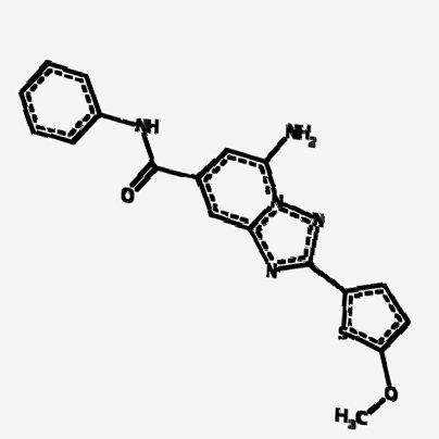 COc1ccc(-c2nc3cc(C(=O)Nc4ccccc4)cc(N)n3n2)s1